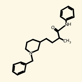 CC(CCC1CCCN(Cc2ccccc2)C1)C(=O)Nc1ccccc1